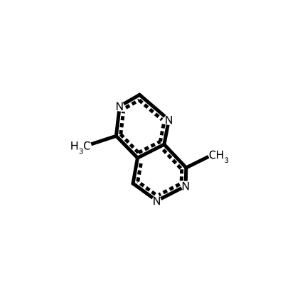 Cc1ncnc2c(C)nncc12